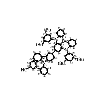 CC(C)(C)c1cc(N2c3ccccc3B3c4ccccc4N(c4cc(C(C)(C)C)cc(C(C)(C)C)c4)c4cc(-c5ccc6c(c5)c5ccccc5n6-c5ccccc5-c5cccc(C#N)c5)cc2c43)cc(C(C)(C)C)c1